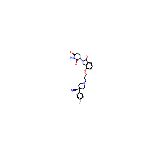 N#CC1(c2ccc(F)cc2)CCN(CCCOc2cccc3c2CN(C2CCC(=O)NC2=O)C3=O)CC1